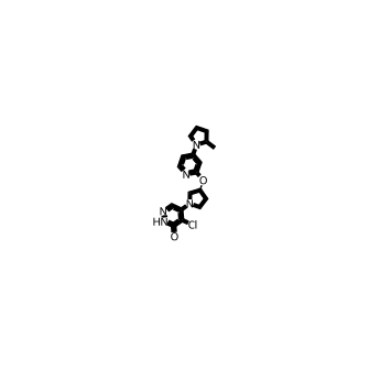 CC1CCCN1c1ccnc(O[C@@H]2CCN(c3cn[nH]c(=O)c3Cl)C2)c1